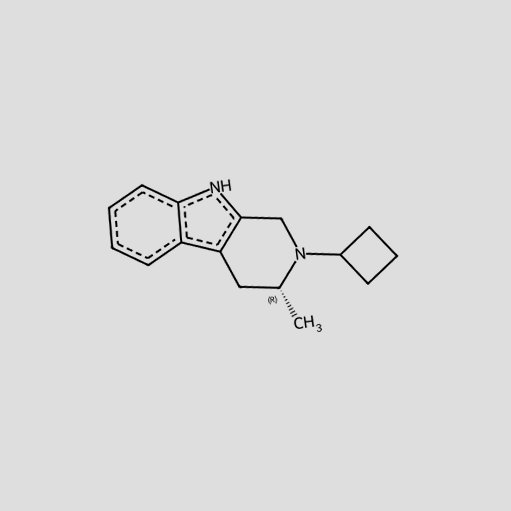 C[C@@H]1Cc2c([nH]c3ccccc23)CN1C1CCC1